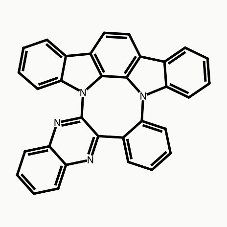 c1ccc2nc3c(nc2c1)c1ccccc1n1c2ccccc2c2ccc4c5ccccc5n3c4c21